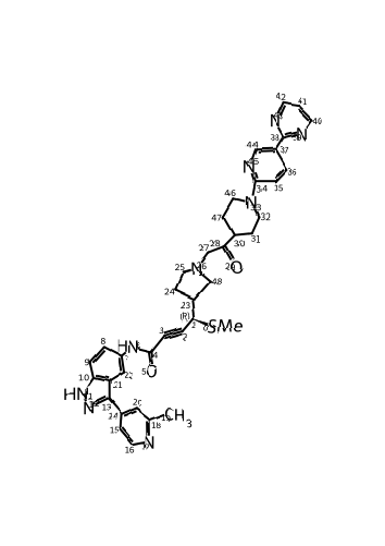 CS[C@@H](C#CC(=O)Nc1ccc2[nH]nc(-c3ccnc(C)c3)c2c1)C1CCN(CC(=O)C2CCN(c3ccc(-c4ncccn4)cn3)CC2)C1